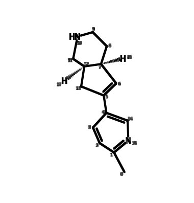 Cc1ccc(C2=C[C@@H]3CCNC[C@@H]3C2)cn1